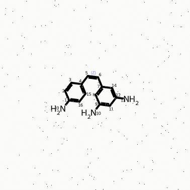 Nc1ccc(/C=C\c2cc(N)cc(N)c2)cc1